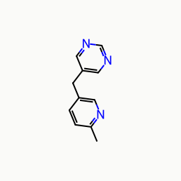 Cc1ccc(Cc2cncnc2)cn1